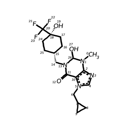 CN1c2ncn(CC3CC3)c2C(=O)N(C[C@H]2CC[C@](O)(C(F)(F)F)CC2)C1O